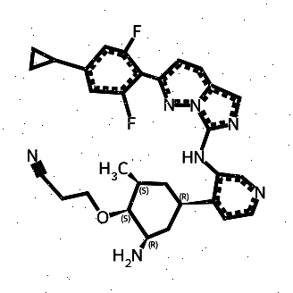 C[C@H]1C[C@@H](c2ccncc2Nc2ncc3ccc(-c4c(F)cc(C5CC5)cc4F)nn23)C[C@@H](N)[C@H]1OCCC#N